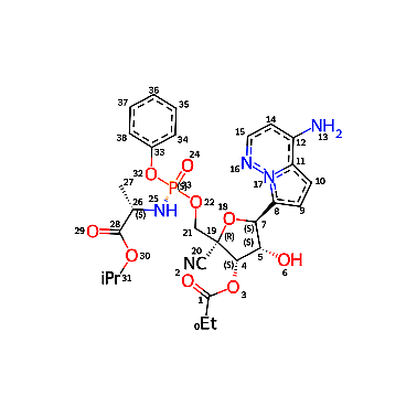 CCC(=O)O[C@H]1[C@@H](O)[C@H](c2ccc3c(N)ccnn23)O[C@]1(C#N)CO[P@@](=O)(N[C@@H](C)C(=O)OC(C)C)Oc1ccccc1